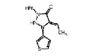 CC=C1C(=O)N(CCC)NN1c1ccsc1